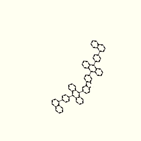 c1ccc2c(-c3ccc(-c4c5ccccc5c(-c5ccc6c(c5)sc5ccc(-c7c8ccccc8c(-c8ccc(-c9cccc%10ccccc9%10)cc8)c8ccccc78)cc56)c5ccccc45)cc3)cccc2c1